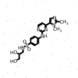 Cc1ncc(-c2ccnc(Nc3ccc(S(=O)(=O)NCC(O)CO)cc3)n2)n1C